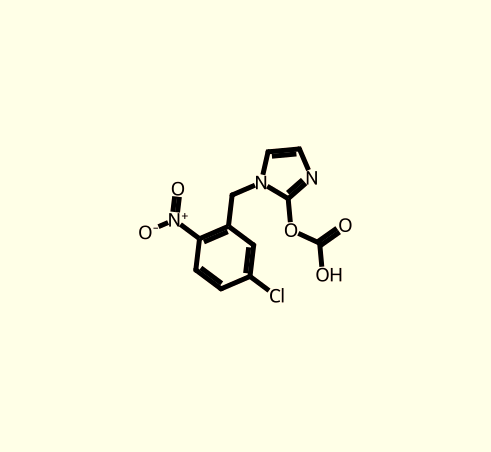 O=C(O)Oc1nccn1Cc1cc(Cl)ccc1[N+](=O)[O-]